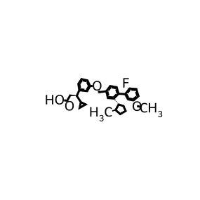 COc1ccc(F)c(-c2ccc(COc3cccc([C@H](CC(=O)O)C4CC4)c3)cc2[C@@H]2CCC[C@H]2C)c1